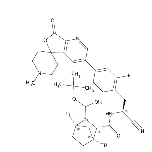 CN1CCC2(CC1)OC(=O)c1ncc(-c3ccc(C[C@@H](C#N)NC(=O)[C@@H]4[C@H]5CC[C@H](C5)N4C(O)OC(C)(C)C)c(F)c3)cc12